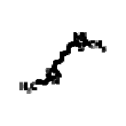 CCCc1nnc(CCCCCc2nnc(C)s2)s1